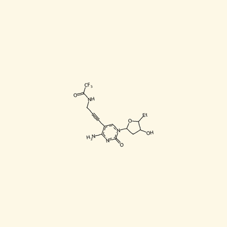 CCC1OC(n2cc(C#CCNC(=O)C(F)(F)F)c(N)nc2=O)CC1O